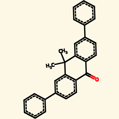 CC1(C)c2cc(-c3ccccc3)ccc2C(=O)c2ccc(-c3ccccc3)cc21